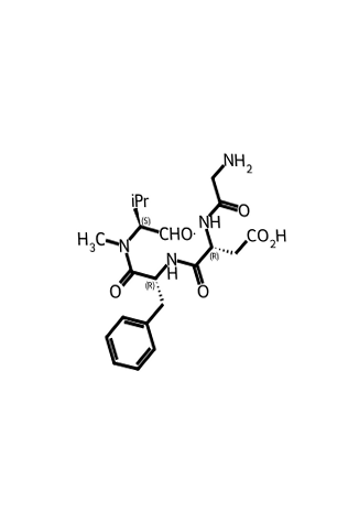 CC(C)[C@@H]([C]=O)N(C)C(=O)[C@@H](Cc1ccccc1)NC(=O)[C@@H](CC(=O)O)NC(=O)CN